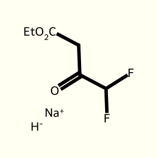 CCOC(=O)CC(=O)C(F)F.[H-].[Na+]